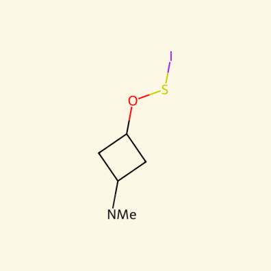 CNC1CC(OSI)C1